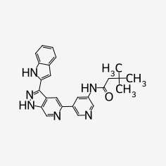 CC(C)(C)CC(=O)Nc1cncc(-c2cc3c(-c4cc5ccccc5[nH]4)n[nH]c3cn2)c1